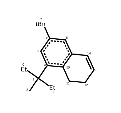 CCC(C)(CC)c1cc(C(C)(C)C)cc2c1CCC=C2